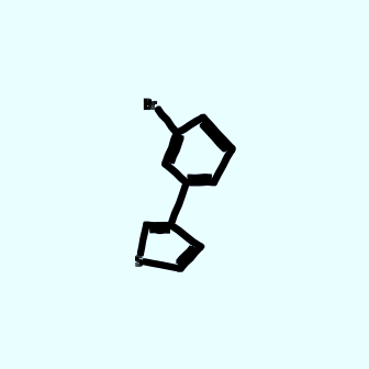 Brc1cccc(-c2ccsc2)c1